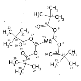 CC(C)(C)C(=O)O[CH](OC(=O)C(C)(C)C)[Mg][CH](OC(=O)C(C)(C)C)OC(=O)C(C)(C)C